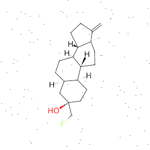 C=C1CC[C@H]2[C@@H]3CC[C@@H]4C[C@@](O)(CF)CC[C@@H]4[C@H]3CC[C@]12C